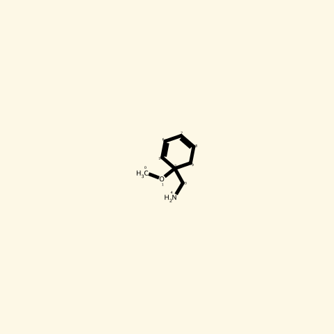 COC1(CN)C=CC=CC1